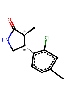 Cc1ccc([C@@H]2CNC(=O)[C@H]2C)c(Cl)c1